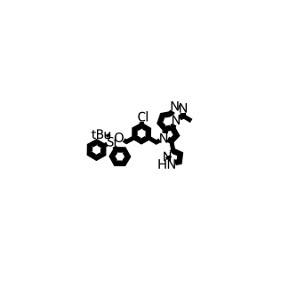 Cc1nnc2ccc3c(cc(-c4cc[nH]n4)n3Cc3cc(Cl)cc(CO[Si](c4ccccc4)(c4ccccc4)C(C)(C)C)c3)n12